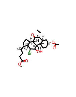 CC[C@H]1C(=O)[C@@H]2[C@H](C(O)C(Br)[C@]3(C)[C@@H]([C@H](C)CCC(=O)OC)CC[C@@H]23)[C@@]2(C)CC[C@@H](OC(C)=O)C[C@@H]12